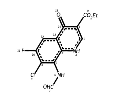 CCOC(=O)c1c[nH]c2c(NC=O)c(Cl)c(F)cc2c1=O